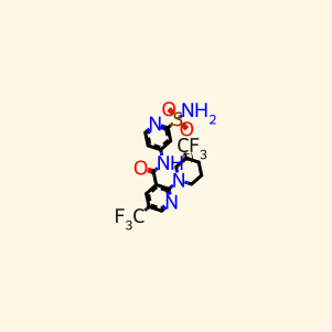 NS(=O)(=O)c1cc(NC(=O)c2cc(C(F)(F)F)cnc2N2CCC[C@H](C(F)(F)F)C2)ccn1